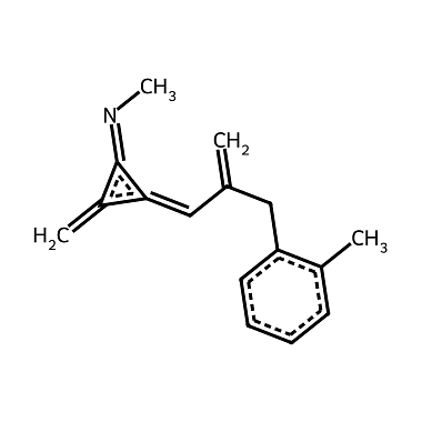 C=C(/C=c1/c(=C)/c1=N/C)Cc1ccccc1C